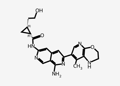 Cc1c(-c2cc3cc(NC(=O)[C@@H]4C[C@@H]4CCO)ncc3c(N)n2)cnc2c1NCCO2